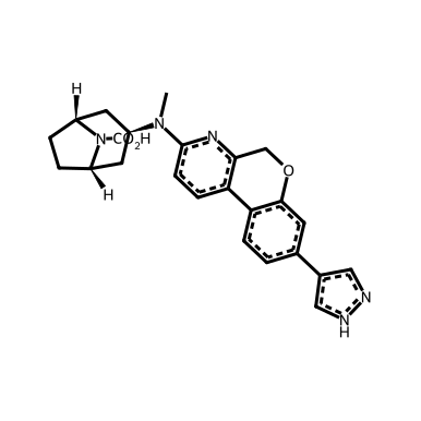 CN(c1ccc2c(n1)COc1cc(-c3cn[nH]c3)ccc1-2)[C@@H]1C[C@H]2CC[C@@H](C1)N2C(=O)O